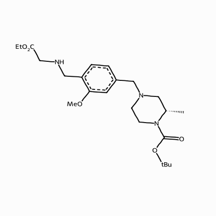 CCOC(=O)CNCc1ccc(CN2CCN(C(=O)OC(C)(C)C)[C@@H](C)C2)cc1OC